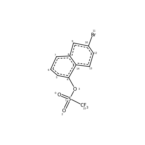 O=S(=O)(Oc1cccc2cc(Br)ccc12)C(F)(F)F